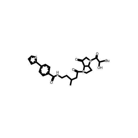 CCC(C)C(O)C(=O)N1CC(=O)C2C1CCN2C(=O)CC(C)CCNC(=O)c1ccc(-c2cccs2)cc1